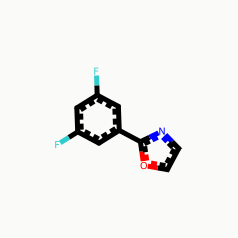 Fc1cc(F)cc(-c2n[c]co2)c1